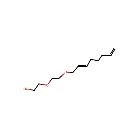 C=CCCCC=CCOCCOCCO